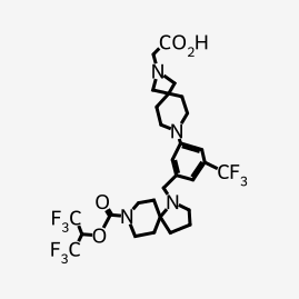 O=C(O)CN1CC2(CCN(c3cc(CN4CCCC45CCN(C(=O)OC(C(F)(F)F)C(F)(F)F)CC5)cc(C(F)(F)F)c3)CC2)C1